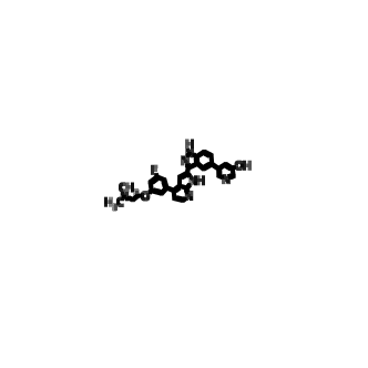 CN(C)CCOc1cc(F)cc(-c2ccnc3[nH]c(-c4n[nH]c5ccc(-c6cncc(O)c6)cc45)cc23)c1